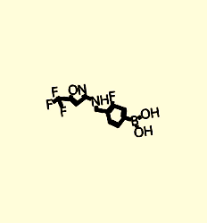 OB(O)c1ccc(CNc2cc(C(F)(F)F)on2)c(F)c1